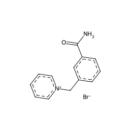 NC(=O)c1cccc(C[n+]2ccccc2)c1.[Br-]